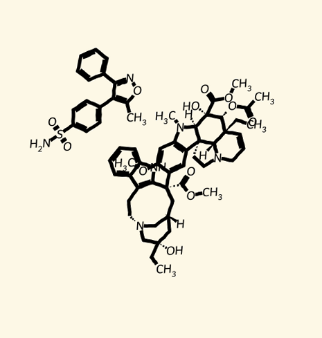 CC[C@]1(O)C[C@@H]2C[N@@](CCc3c([nH]c4ccccc34)[C@@](C(=O)OC)(c3cc4c(cc3OC)N(C)[C@H]3[C@@](O)(C(=O)OC)[C@H](OC(C)=O)[C@]5(CC)C=CCN6CC[C@]43[C@@H]65)C2)C1.Cc1onc(-c2ccccc2)c1-c1ccc(S(N)(=O)=O)cc1